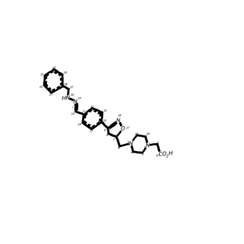 O=C(O)CN1CCN(CC2CC(c3ccc(/C=N/NCc4ccccc4)cc3)=NO2)CC1